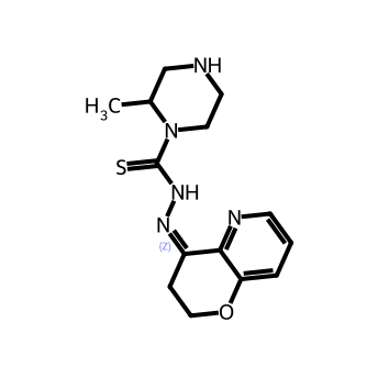 CC1CNCCN1C(=S)N/N=C1/CCOc2cccnc21